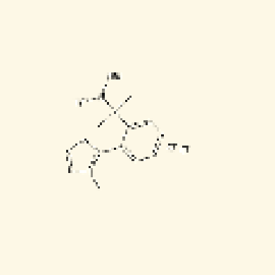 CC1=C(c2ccccc2C(C)(C)[N]([Ti+2])C(C)(C)C)CC=C1.[Cl-].[Cl-]